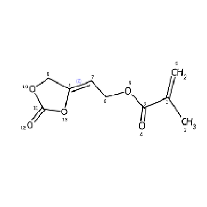 C=C(C)C(=O)OC/C=C1/COC(=O)O1